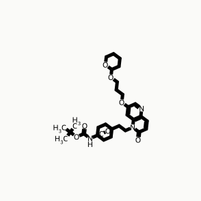 CC(C)(C)OC(=O)NC12CCC(CCn3c(=O)ccc4ncc(OCCCOC5CCCCO5)cc43)(CC1)OC2